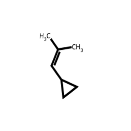 CC(C)=CC1CC1